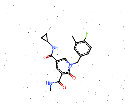 CNC(=O)c1cc(C(=O)N[C@H]2C[C@@H]2C)cn(Cc2ccc(F)c(C)c2)c1=O